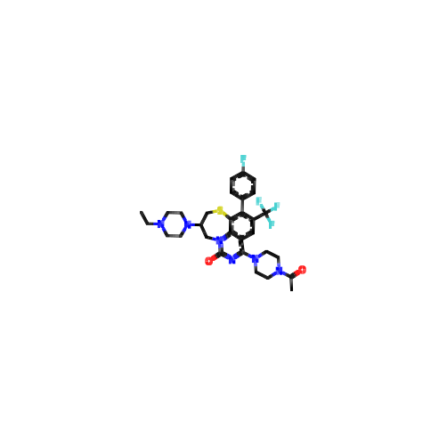 CCN1CCN(C2CSc3c(-c4ccc(F)cc4)c(C(F)(F)F)cc4c(N5CCN(C(C)=O)CC5)nc(=O)n(c34)C2)CC1